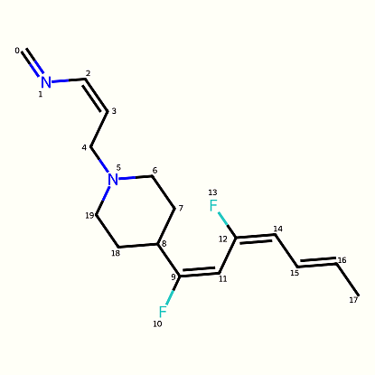 C=N/C=C\CN1CCC(\C(F)=C/C(F)=C\C=C\C)CC1